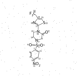 O=C1CN(S(=O)(=O)c2ccc([N+](=O)[O-])cc2)CCN1c1nc(C(F)(F)F)cs1